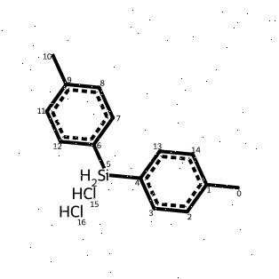 Cc1ccc([SiH2]c2ccc(C)cc2)cc1.Cl.Cl